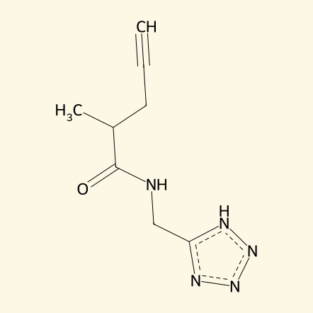 C#CCC(C)C(=O)NCc1nnn[nH]1